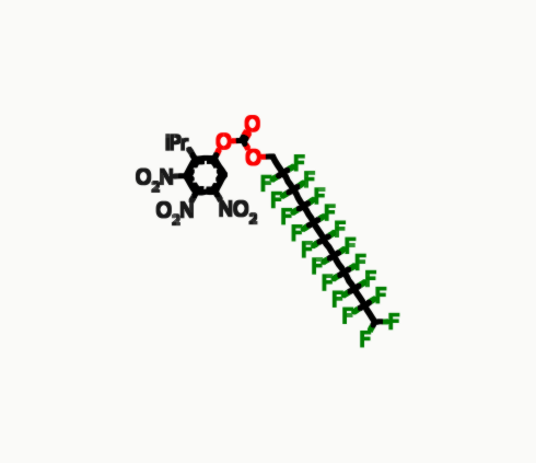 CC(C)c1c(OC(=O)OCC(F)(F)C(F)(F)C(F)(F)C(F)(F)C(F)(F)C(F)(F)C(F)(F)C(F)(F)C(F)(F)C(F)F)cc([N+](=O)[O-])c([N+](=O)[O-])c1[N+](=O)[O-]